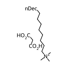 CCCCCCCCCCCCCCCCCC[N+](C)(C)C.O=C(O)CC(=O)O